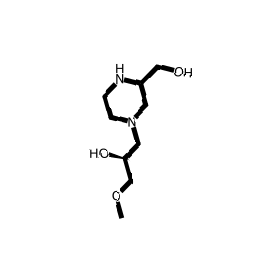 COC[C@@H](O)CN1CCNC(CO)C1